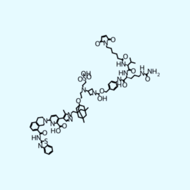 Cc1c(-c2ccc(N3CCc4cccc(C(=O)Nc5nc6ccccc6s5)c4C3)nc2C(=O)O)cnn1CC12CC3(C)CC(C)(C1)CC(OCCN(CCS(=O)(=O)O)C1CN(C(O)OCc4ccc(NC(=O)[C@H](CCCNC(N)=O)NC(=O)[C@@H](NC(=O)CCCCCN5C(=O)C=CC5=O)C(C)C)cc4)C1)(C3)C2